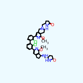 COc1nc(-c2cccc(-c3cccc(-c4cc5c(c(OC)n4)C(NC[C@@H]4CCC(=O)N4)CC5)c3Cl)c2Cl)cc2c1CCN(CC1CCC(=O)N1)C2